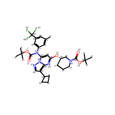 Cc1cc(N(C(=O)OC(C)(C)C)c2cc(O[C@H]3CCCN(C(=O)OC(C)(C)C)C3)nc3c(C4CCC4)cnn23)cc(C(F)(F)F)c1